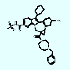 COc1ccc2c(c1)C1CC1(C(=O)N1CCCN(Cc3cccnc3)CC1)Cn1c-2c(C2CCCCC2)c2ccc(C(=O)NS(C)(=O)=O)cc21